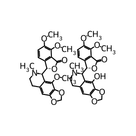 COc1ccc2c(c1OC)C(=O)O[C@@H]2[C@H]1c2c(cc3c(c2O)OCO3)CCN1C.COc1ccc2c(c1OC)C(=O)O[C@@H]2[C@H]1c2c(cc3c(c2OC)OCO3)CCN1C